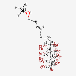 C[Si](C)(C)OCCCCCCC(Br)(Br)C(Br)(Br)C(Br)(Br)C(Br)(Br)Br